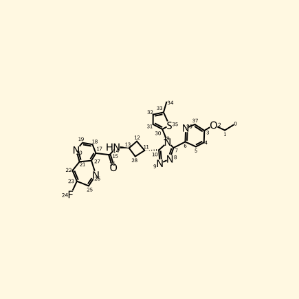 CCOc1ccc(-c2nnc([C@H]3C[C@H](NC(=O)c4ccnc5cc(F)cnc45)C3)n2-c2ccc(C)s2)nc1